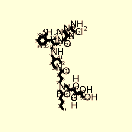 CCCCCCN(CCCC(=O)N1CCC(CNC[C@H](CNC(=O)c2nc(Cl)c(N)nc2N)Cc2ccccc2C)CC1)C[C@H](O)[C@@H](O)[C@H](O)[C@H](O)CO